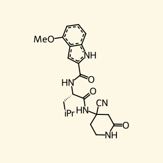 COc1cccc2[nH]c(C(=O)N[C@@H](CC(C)C)C(=O)NC3(C#N)CCNC(=O)C3)cc12